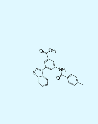 Cc1ccc(C(=O)Nc2cc(C(=O)O)cc(-c3csc4ccccc34)c2)cc1